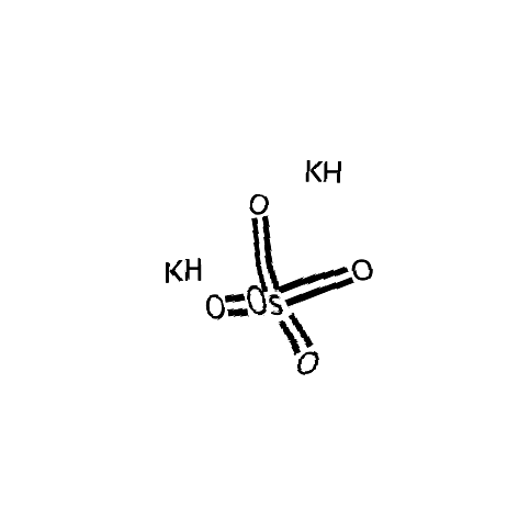 [KH].[KH].[O]=[Os](=[O])(=[O])=[O]